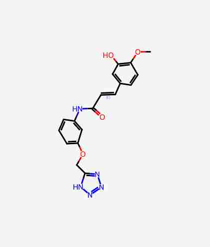 COc1ccc(/C=C/C(=O)Nc2cccc(OCc3nnn[nH]3)c2)cc1O